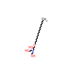 CCCCCCCCCCCCCCCCCCOCC(O)CN(CCO)CCO